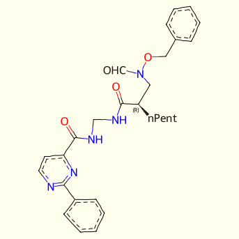 CCCCC[C@H](CN(C=O)OCc1ccccc1)C(=O)NCNC(=O)c1ccnc(-c2ccccc2)n1